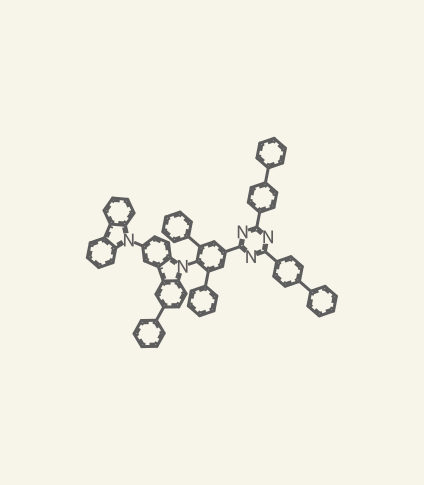 c1ccc(-c2ccc(-c3nc(-c4ccc(-c5ccccc5)cc4)nc(-c4cc(-c5ccccc5)c(-n5c6ccc(-c7ccccc7)cc6c6cc(-n7c8ccccc8c8ccccc87)ccc65)c(-c5ccccc5)c4)n3)cc2)cc1